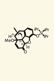 COC12C=CC(=O)[C@@H]3Oc4c(O[Si](C(C)C)(C(C)C)C(C)C)ccc5c4[C@@]31CCN(C)[C@@H]2C5